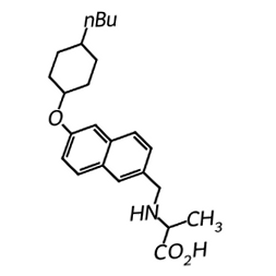 CCCCC1CCC(Oc2ccc3cc(CNC(C)C(=O)O)ccc3c2)CC1